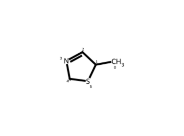 CC1C=N[C]S1